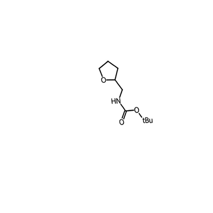 CC(C)(C)OC(=O)NCC1CCCO1